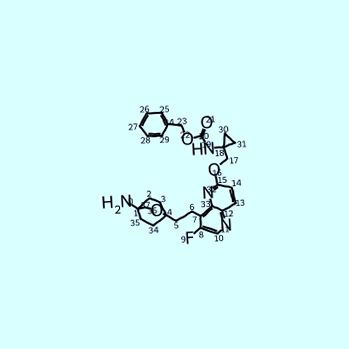 NC12CCC(CCc3c(F)cnc4ccc(OCC5(NC(=O)OCc6ccccc6)CC5)nc34)(CC1)OC2